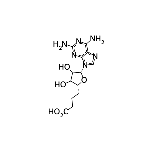 Nc1nc(N)c2ncn([C@@H]3O[C@H](CCCC(=O)O)C(O)C3O)c2n1